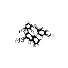 Sc1ccc(Sc2ccc(S)c(-c3cc(S)cc4ccccc34)c2)cc1